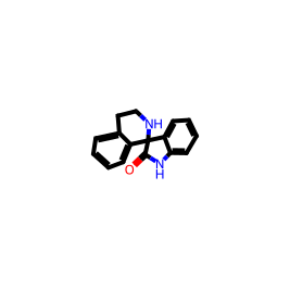 O=C1Nc2ccccc2C12NCCc1ccccc12